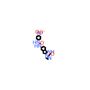 O=C(Nc1ccc([N+](=O)[O-])cc1)Nc1ccc2c(c1)Cc1c-2[nH]c(=O)c2nccn12